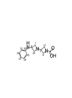 O=C(O)N1CC(N2CC(Nc3ccccc3)C2)C1